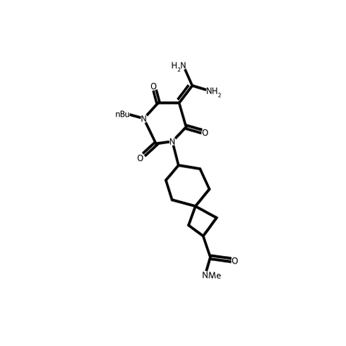 CCCCN1C(=O)C(=C(N)N)C(=O)N(C2CCC3(CC2)CC(C(=O)NC)C3)C1=O